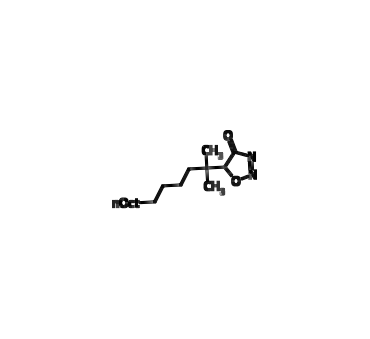 CCCCCCCCCCCCC(C)(C)C1ON=NC1=O